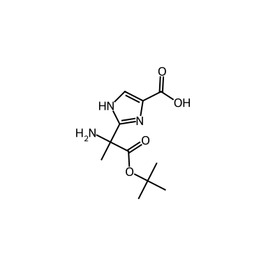 CC(C)(C)OC(=O)C(C)(N)c1nc(C(=O)O)c[nH]1